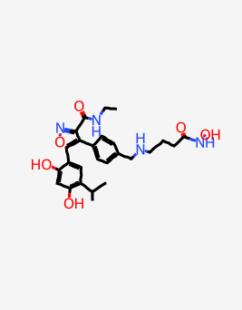 CCNC(=O)c1noc(-c2cc(C(C)C)c(O)cc2O)c1-c1ccc(CNCCCC(=O)NO)cc1